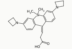 C[Si]1(C)c2cc(N3CCC3)ccc2C(=CCC(=O)O)c2ccc(N3CCC3)cc21